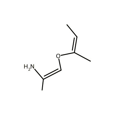 C/C=C(/C)O/C=C(/C)N